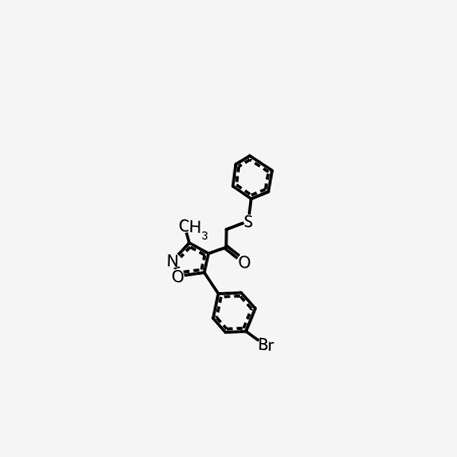 Cc1noc(-c2ccc(Br)cc2)c1C(=O)CSc1ccccc1